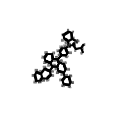 CC(C)Cc1nc2ccccc2n1-c1ccc(-c2c3ccccc3c(-c3ccc4ccccc4c3)c3cc(-c4ccccc4)ccc23)cc1